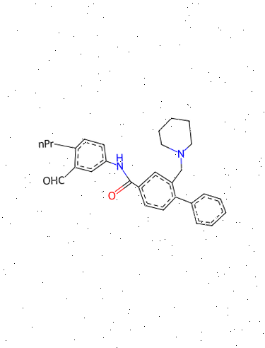 CCCc1ccc(NC(=O)c2ccc(-c3ccccc3)c(CN3CCCCC3)c2)cc1C=O